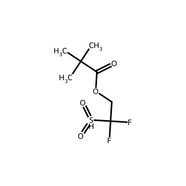 CC(C)(C)C(=O)OCC(F)(F)[SH](=O)=O